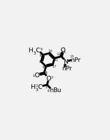 CCCCC(C)OC(=O)c1cc(C)cc(C(=O)N(CCC)CCC)c1